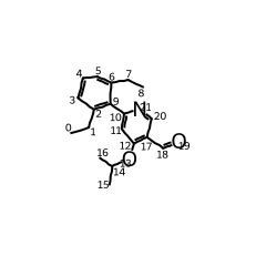 CCc1cccc(CC)c1-c1cc(OC(C)C)c(C=O)cn1